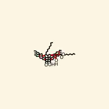 CCCCCCCCC(C)C(CCCN(CCO)CCCC(=O)OCCCCCCC)C(C(C)CCCCCCCC)(C(C)CCCCCCCC)C(C(C)CCCCCCCC)(C(C)CCCCCCCC)C(C(=O)O)(C(C)CCCCCCCC)C(C)CCCCCCCC